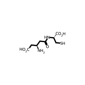 N[C@@H](CC(=O)O)CC(=O)N[C@@H](CS)C(=O)O